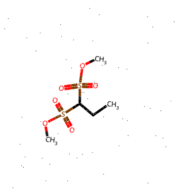 CCC(S(=O)(=O)OC)S(=O)(=O)OC